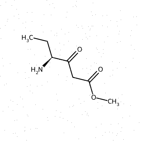 CC[C@H](N)C(=O)CC(=O)OC